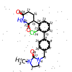 CN1CCN(Cc2ccc(-c3cccc(C4CCC(=O)NC4=O)c3Cl)cc2)C1=O